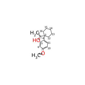 C=C(O)C1(c2ccc(OC)cc2)CCCCC1